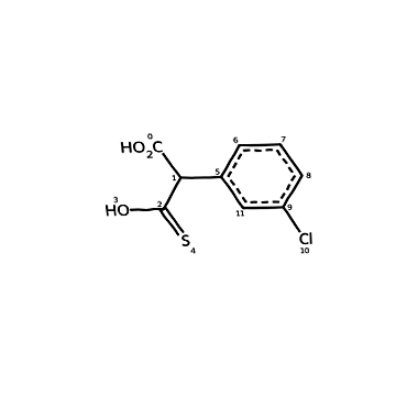 O=C(O)C(C(O)=S)c1cccc(Cl)c1